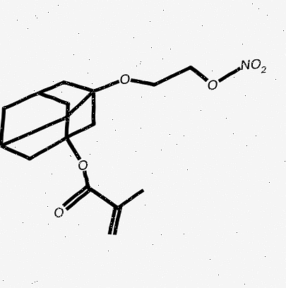 C=C(C)C(=O)OC12CC3CC(CC(OCCO[N+](=O)[O-])(C3)C1)C2